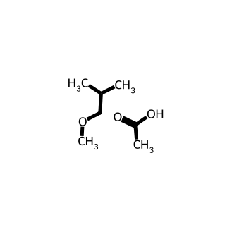 CC(=O)O.COCC(C)C